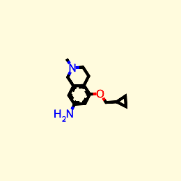 CN1CCc2c(cc(N)cc2OCC2CC2)C1